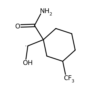 NC(=O)C1([CH]O)CCCC(C(F)(F)F)C1